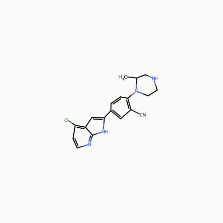 CC1CNCCN1c1ccc(-c2cc3c(Cl)ccnc3[nH]2)cc1C#N